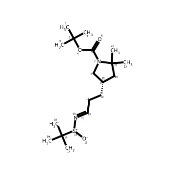 CC(C)(C)OC(=O)N1C[C@@H](CC/C=N/[S+]([O-])C(C)(C)C)CC1(C)C